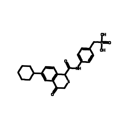 O=C1CSC(C(=O)Nc2ccc(CP(=O)(O)O)cc2)c2ccc(C3CCCCC3)cc21